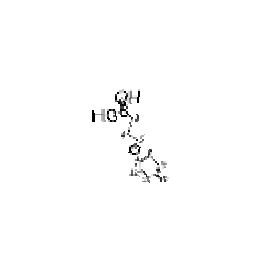 OB(O)CCCOc1ccccc1